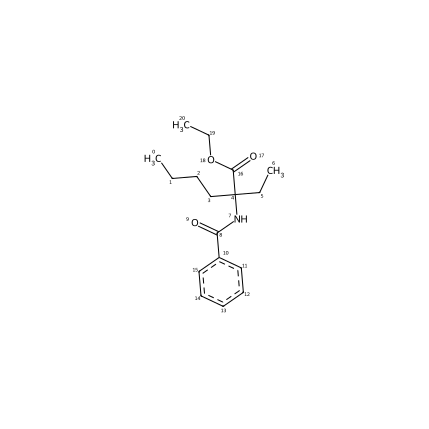 CCCCC(CC)(NC(=O)c1ccccc1)C(=O)OCC